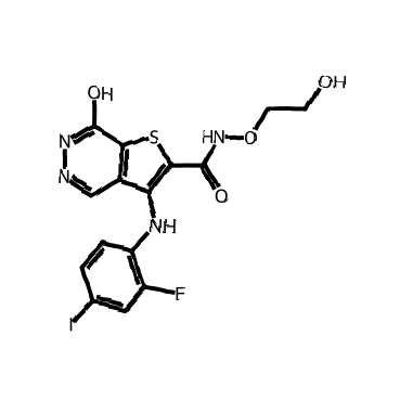 O=C(NOCCO)c1sc2c(O)nncc2c1Nc1ccc(I)cc1F